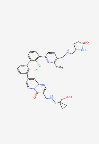 COc1nc(-c2cccc(-c3cccc(-c4ccn5c(=O)c(CNCC6(CO)CC6)cnc5c4)c3Cl)c2Cl)ccc1CNCC1CCC(=O)N1